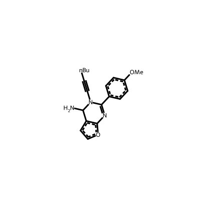 CCCCC#CN1C(c2ccc(OC)cc2)=Nc2occc2C1N